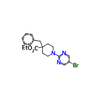 CCOC(=O)C1(Cc2ccccc2)CCN(c2ncc(Br)cn2)CC1